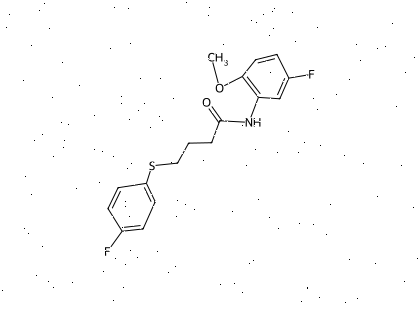 COc1ccc(F)cc1NC(=O)CCCSc1ccc(F)cc1